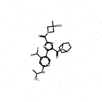 CC(Nc1cc(C(F)F)c(-c2sc(C(=O)N3CC(C)(O)C3)nc2C(=O)N2C3CCC2CC3)cn1)C(F)(F)F